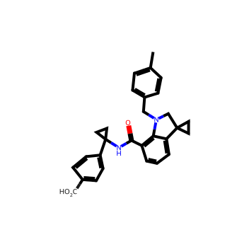 Cc1ccc(CN2CC3(CC3)c3cccc(C(=O)NC4(c5ccc(C(=O)O)cc5)CC4)c32)cc1